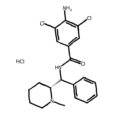 CN1CCCC[C@@H]1C(NC(=O)c1cc(Cl)c(N)c(Cl)c1)c1ccccc1.Cl